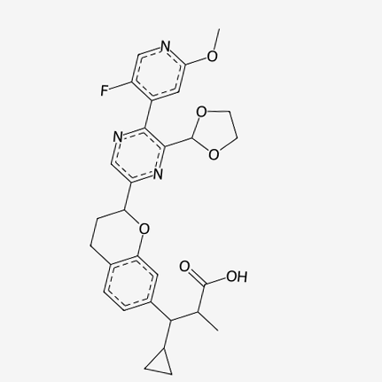 COc1cc(-c2ncc(C3CCc4ccc(C(C5CC5)C(C)C(=O)O)cc4O3)nc2C2OCCO2)c(F)cn1